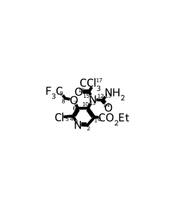 CCOC(=O)c1cnc(Cl)c(OCC(F)(F)F)c1N(C(N)=O)C(=O)C(Cl)(Cl)Cl